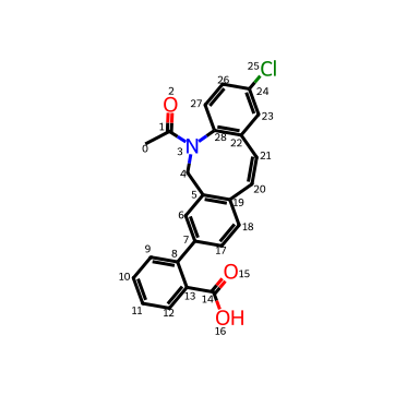 CC(=O)N1Cc2cc(-c3ccccc3C(=O)O)ccc2C=Cc2cc(Cl)ccc21